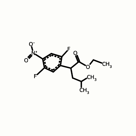 CCOC(=O)C(CC(C)C)c1cc(F)c([N+](=O)[O-])cc1F